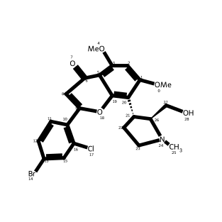 COc1cc(OC)c2c(=O)cc(-c3ccc(Br)cc3Cl)oc2c1[C@H]1CCN(C)[C@@H]1CO